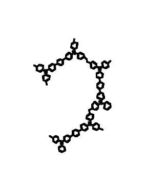 Cc1ccc(N(c2ccccc2)c2ccc(-c3ccc(-c4ccc(N(c5ccc(C)cc5)c5ccc(Cc6ccc(N(c7ccccc7)c7ccc(-c8ccc(-c9ccc(N(c%10ccc(C)cc%10)c%10ccc(CCc%11ccc(N(c%12ccc(C)cc%12)c%12ccc(-c%13ccc(-c%14ccc(N(c%15ccc(C)cc%15)c%15ccc(C)cc%15)cc%14)cc%13)cc%12)cc%11)cc%10)cc9)cc8)cc7)cc6)cc5)cc4)cc3)cc2)cc1